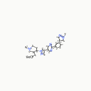 COCC1CN(C(C)=O)CCC1n1cc(-c2cnc(-c3cccc(-c4cnn(C)c4)c3)nc2)cn1